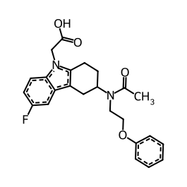 CC(=O)N(CCOc1ccccc1)C1CCc2c(c3cc(F)ccc3n2CC(=O)O)C1